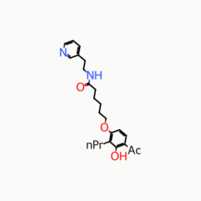 CCCc1c(OCCCCCC(=O)NCCc2cccnc2)ccc(C(C)=O)c1O